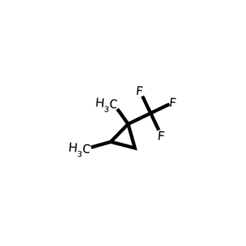 CC1CC1(C)C(F)(F)F